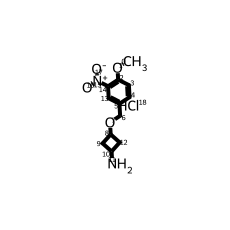 COc1ccc(COC2CC(N)C2)cc1[N+](=O)[O-].Cl